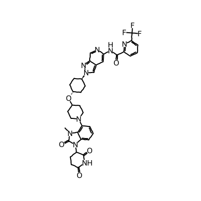 Cn1c(=O)n(C2CCC(=O)NC2=O)c2cccc(N3CCC(O[C@H]4CC[C@H](n5cc6cc(NC(=O)c7cccc(C(F)(F)F)n7)ncc6n5)CC4)CC3)c21